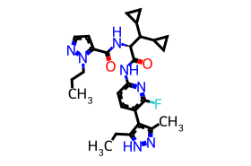 CCCn1nccc1C(=O)N[C@H](C(=O)Nc1ccc(-c2c(C)n[nH]c2CC)c(F)n1)C(C1CC1)C1CC1